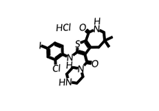 CC1(C)CNC(=O)c2sc(Nc3ccc(I)cc3Cl)c(C(=O)N3CCNCC3)c2C1.Cl